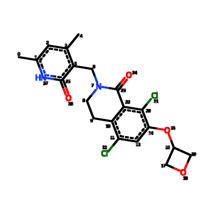 Cc1cc(C)c(CN2CCc3c(Cl)cc(OC4COC4)c(Cl)c3C2=O)c(=O)[nH]1